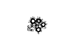 O=C1OC([P+](c2ccccc2)(c2ccccc2)c2ccccc2)c2c(Cl)cccc21.[Br-]